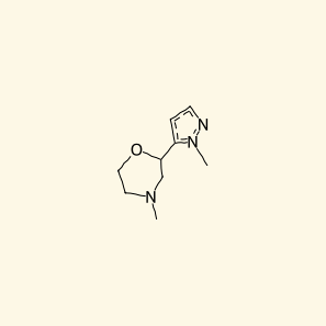 CN1CCOC(c2ccnn2C)C1